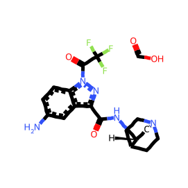 Nc1ccc2c(c1)c(C(=O)N[C@@H]1CN3CCC1CC3)nn2C(=O)C(F)(F)F.O=CO